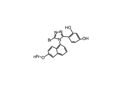 CCCOc1ccc2c(-n3c(Br)nnc3-c3ccc(O)cc3O)cccc2c1